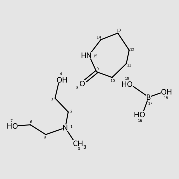 CN(CCO)CCO.O=C1CCCCCN1.OB(O)O